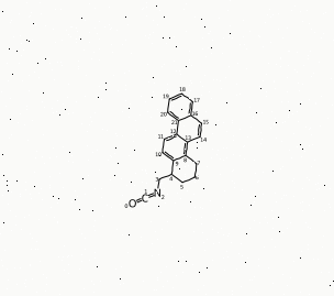 O=C=NCC1CCCc2c1ccc1c2ccc2ccccc21